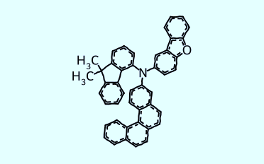 CC1(C)c2ccccc2-c2c(N(c3ccc4c(ccc5ccc6ccccc6c54)c3)c3ccc4oc5ccccc5c4c3)cccc21